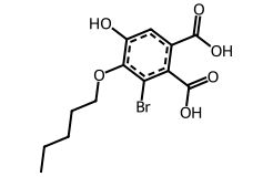 CCCCCOc1c(O)cc(C(=O)O)c(C(=O)O)c1Br